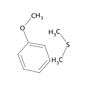 COc1ccccc1.CSC